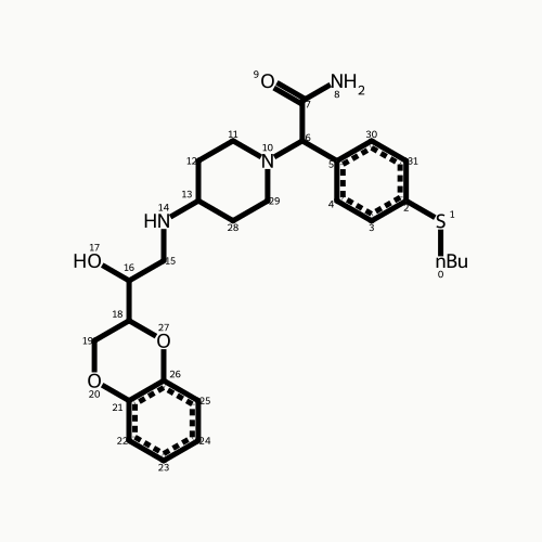 CCCCSc1ccc(C(C(N)=O)N2CCC(NCC(O)C3COc4ccccc4O3)CC2)cc1